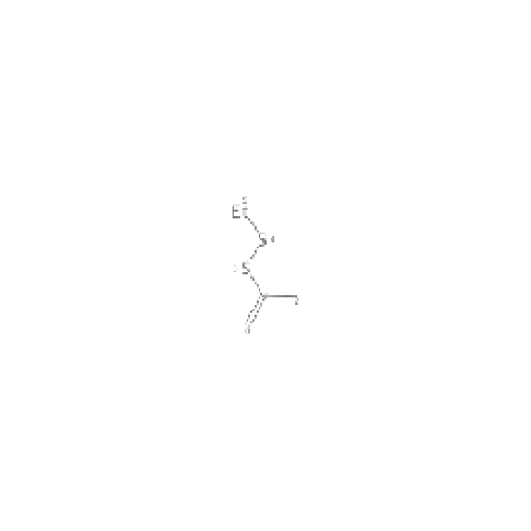 C=C(C)SSCC